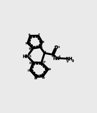 NNC(=O)C1c2ccccc2Nc2ccccc21